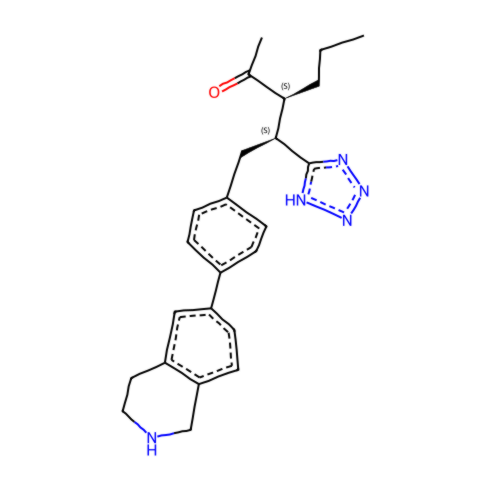 CCC[C@H](C(C)=O)[C@H](Cc1ccc(-c2ccc3c(c2)CCNC3)cc1)c1nnn[nH]1